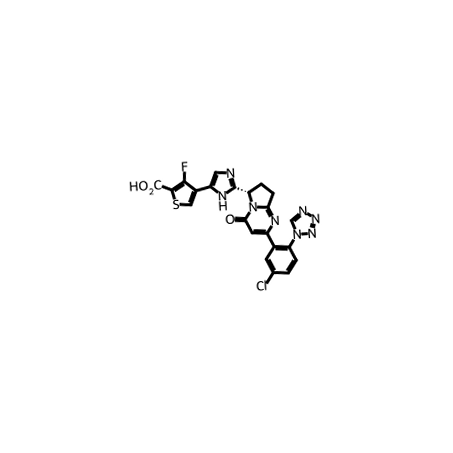 O=C(O)c1scc(-c2cnc([C@@H]3CCc4nc(-c5cc(Cl)ccc5-n5cnnn5)cc(=O)n43)[nH]2)c1F